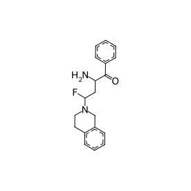 NC(CC(F)N1CCc2ccccc2C1)C(=O)c1ccccc1